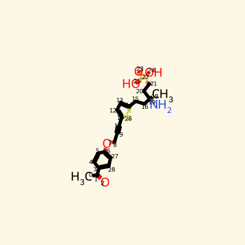 CC(=O)c1ccc(OCC#Cc2ccc(CCC(C)(N)CCP(=O)(O)O)s2)cc1